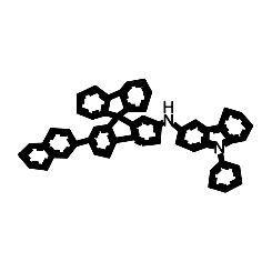 c1ccc(-n2c3ccccc3c3cc(Nc4ccc5c(c4)C4(c6ccccc6-c6ccccc64)c4cc(-c6ccc7ccccc7c6)ccc4-5)ccc32)cc1